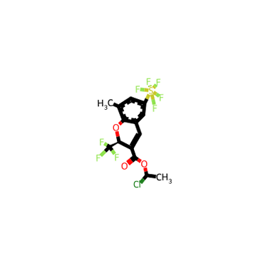 Cc1cc(S(F)(F)(F)(F)F)cc2c1O[C@H](C(F)(F)F)C(C(=O)OC(C)Cl)=C2